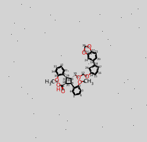 COc1ccccc1C1[C@@H](COCOc2cccc(-c3ccc4c(c3)OCO4)c2)[C@H](c2ccccc2OC)[C@@H]1C(=O)O